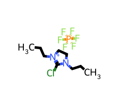 CCCN1CC[N+](CCC)=C1Cl.F[P-](F)(F)(F)(F)F